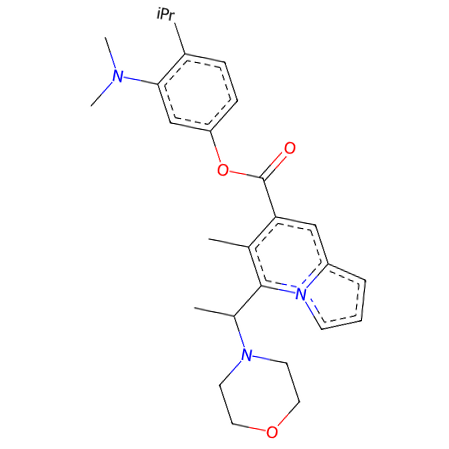 Cc1c(C(=O)Oc2ccc(C(C)C)c(N(C)C)c2)cc2cccn2c1C(C)N1CCOCC1